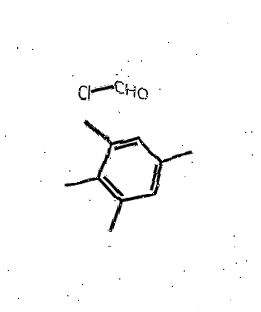 Cc1cc(C)c(C)c(C)c1.O=CCl